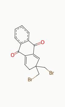 O=C1C2=CCC(CBr)(CBr)C=C2C(=O)c2ccccc21